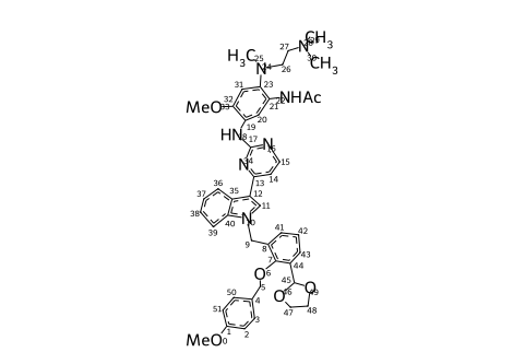 COc1ccc(COc2c(Cn3cc(-c4ccnc(Nc5cc(NC(C)=O)c(N(C)CCN(C)C)cc5OC)n4)c4ccccc43)cccc2C2OCCO2)cc1